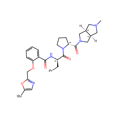 CC(C)C[C@@H](NC(=O)c1ccccc1OCc1ncc(C(C)(C)C)o1)C(=O)N1CCC[C@@H]1C(=O)N1C[C@H]2CN(C)C[C@H]2C1